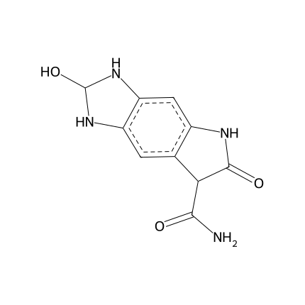 NC(=O)C1C(=O)Nc2cc3c(cc21)NC(O)N3